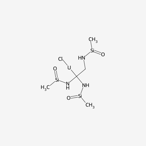 C[Si](=O)NC[C](N[Si](C)=O)(N[Si](C)=O)[U][Cl]